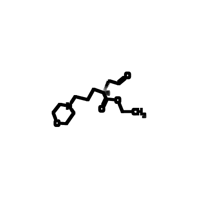 CCOC(=O)[C@@H](CC=O)CCCN1CCOCC1